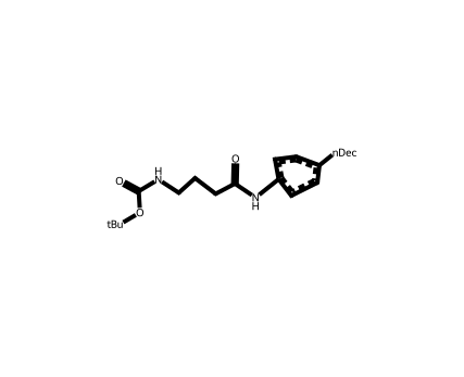 CCCCCCCCCCc1ccc(NC(=O)CCCNC(=O)OC(C)(C)C)cc1